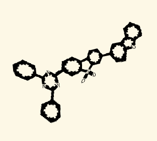 O=S1(=O)c2cc(-c3ccc4oc5ccccc5c4c3)ccc2-c2ccc(-c3nc(-c4ccccc4)nc(-c4ccccc4)n3)cc21